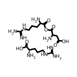 N=C(N)NCCCC(N)C(=O)OC(=O)C(N)CC(=O)O.N=C(N)NCCC[C@@H](N)C(=O)O